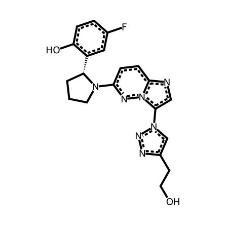 OCCc1cn(-c2cnc3ccc(N4CCC[C@@H]4c4cc(F)ccc4O)nn23)nn1